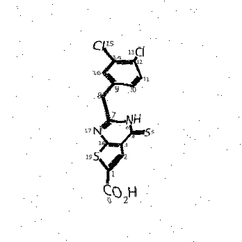 O=C(O)c1cc2c(=S)[nH]c(Cc3ccc(Cl)c(Cl)c3)nc2s1